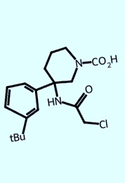 CC(C)(C)c1cccc(C2(NC(=O)CCl)CCCN(C(=O)O)C2)c1